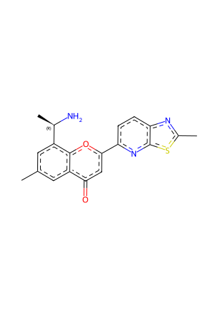 Cc1cc([C@@H](C)N)c2oc(-c3ccc4nc(C)sc4n3)cc(=O)c2c1